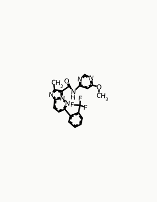 COc1cc(NC(=O)c2c(C)nc3ccc(-c4ccccc4C(F)(F)F)nn23)ncn1